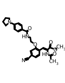 COC(=O)C(=Cc1ccc(C#N)cc1OCCNC(=O)c1ccc(N2CCCC2)cc1)NC(C)=O